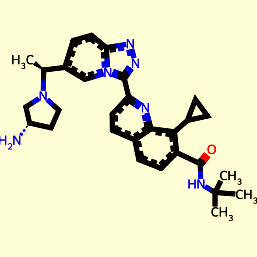 C[C@@H](c1ccc2nnc(-c3ccc4ccc(C(=O)NC(C)(C)C)c(C5CC5)c4n3)n2c1)N1CC[C@H](N)C1